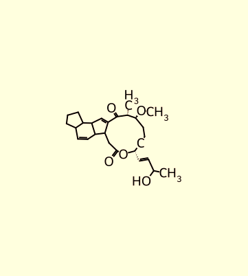 CO[C@H]1CCC[C@H](/C=C/C(C)O)OC(=O)CC2C(=CC3C2C=CC2CCCC23)C(=O)[C@@H]1C